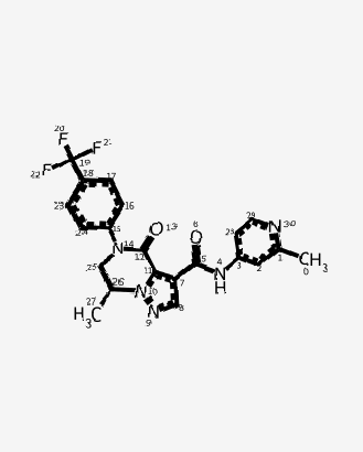 Cc1cc(NC(=O)c2cnn3c2C(=O)N(c2ccc(C(F)(F)F)cc2)C[C@@H]3C)ccn1